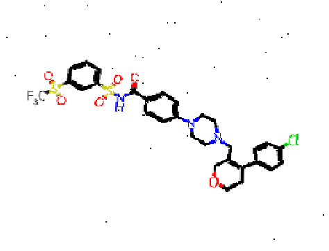 O=C(NS(=O)(=O)c1cccc(S(=O)(=O)C(F)(F)F)c1)c1ccc(N2CCN(CC3=C(c4ccc(Cl)cc4)CCOC3)CC2)cc1